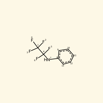 FC(F)(F)C(F)(F)Nc1ccccc1